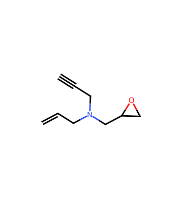 C#CCN(CC=C)CC1CO1